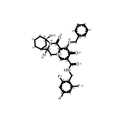 O=C(NCc1c(F)cc(F)cc1F)c1cn2c(c(OCc3ccccc3)c1=O)C(=O)N1[C@H]3CCCC(C3)[C@H]1C2